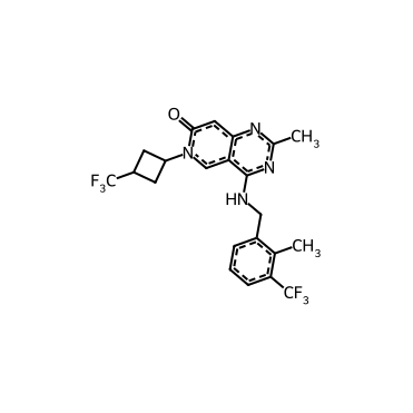 Cc1nc(NCc2cccc(C(F)(F)F)c2C)c2cn(C3CC(C(F)(F)F)C3)c(=O)cc2n1